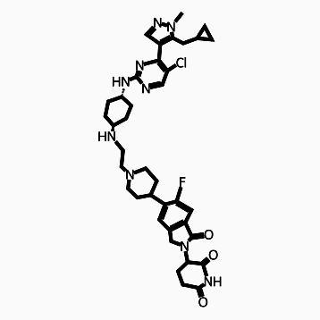 Cn1ncc(-c2nc(N[C@H]3CC[C@H](NCCN4CCC(c5cc6c(cc5F)C(=O)N(C5CCC(=O)NC5=O)C6)CC4)CC3)ncc2Cl)c1CC1CC1